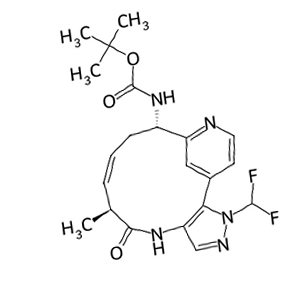 C[C@H]1C=CC[C@H](NC(=O)OC(C)(C)C)c2cc(ccn2)-c2c(cnn2C(F)F)NC1=O